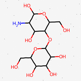 NC1C(O)OC(CO)C(OC2OC(CO)C(O)C(O)C2O)C1O